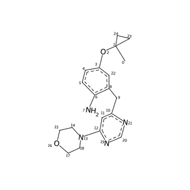 CC1(Oc2ccc(N)c(Cc3cc(N4CCOCC4)ncn3)c2)CC1